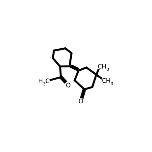 CC(=O)C1[C]CCCC1=C1CC(=O)CC(C)(C)C1